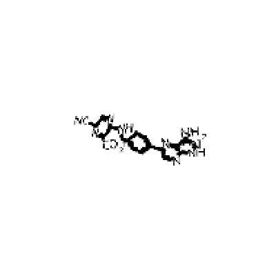 N#Cc1cnc(NCc2ccc(-c3cnc4[nH]nc(N)c4n3)cc2)c(C(=O)O)n1